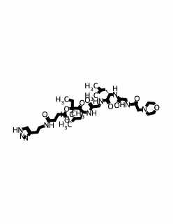 CC[C@@](C)(OC(=O)CCC(=O)NCCc1c[nH]nn1)C(=O)[C@H](CC(C)C)NC(=O)CNC(=O)[C@H](CC(C)C)NC(=O)CNC(=O)CN1CCOCC1